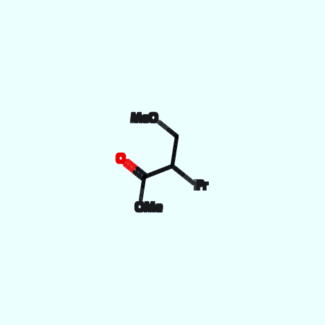 COCC(C(=O)OC)C(C)C